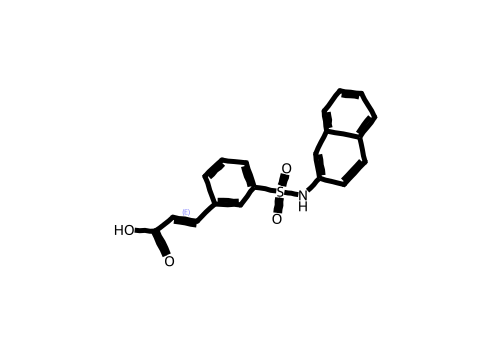 O=C(O)/C=C/c1cccc(S(=O)(=O)Nc2ccc3ccccc3c2)c1